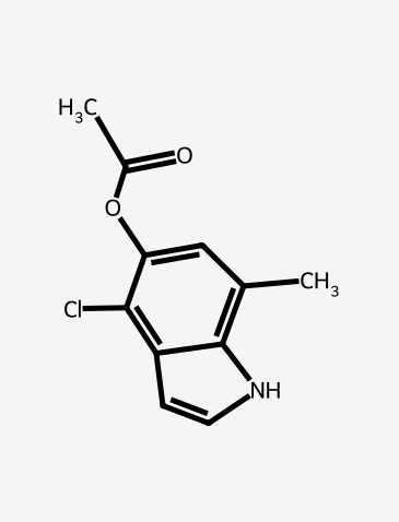 CC(=O)Oc1cc(C)c2[nH]ccc2c1Cl